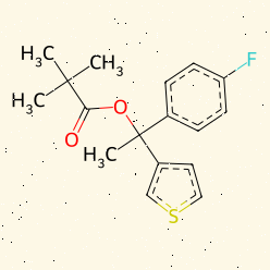 CC(C)(C)C(=O)OC(C)(c1ccc(F)cc1)c1ccsc1